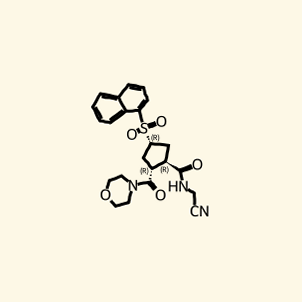 N#CCNC(=O)[C@@H]1C[C@@H](S(=O)(=O)c2cccc3ccccc23)C[C@H]1C(=O)N1CCOCC1